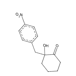 O=C1CCCCC1(O)Cc1ccc([N+](=O)[O-])cc1